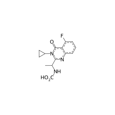 CC(NC(=O)O)c1nc2cccc(F)c2c(=O)n1C1CC1